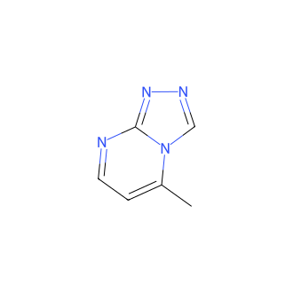 Cc1ccnc2nncn12